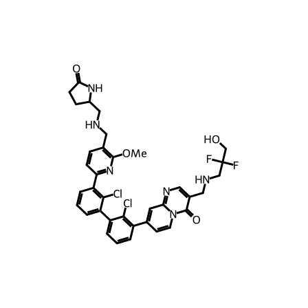 COc1nc(-c2cccc(-c3cccc(-c4ccn5c(=O)c(CNCC(F)(F)CO)cnc5c4)c3Cl)c2Cl)ccc1CNCC1CCC(=O)N1